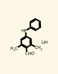 Cc1cc(Pc2ccccc2)cc(C)c1C=O.[LiH]